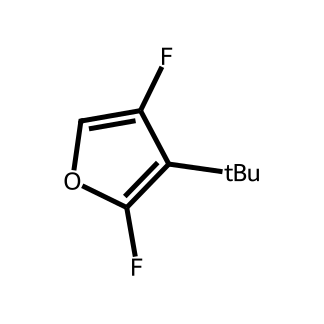 CC(C)(C)c1c(F)coc1F